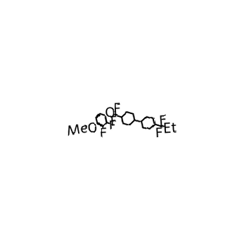 CCC(F)(F)C1CCC(C2CCC(C(F)(F)Oc3ccc(OC)c(F)c3F)CC2)CC1